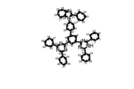 c1ccc(C2=NC(c3cc(-c4ccc(-n5c(-c6ccccc6)nc6ccccc65)cc4)cc(-c4nc(-c5ccccc5)nc(-c5ccccc5)n4)c3)=NC(c3ccccc3)N2)cc1